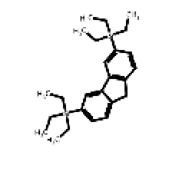 CC[Si](CC)(CC)c1ccc2c(c1)-c1cc([Si](CC)(CC)CC)ccc1C2